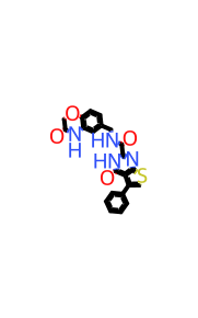 O=C1COc2ccc(CNC(=O)c3nc4scc(-c5ccccc5)c4c(=O)[nH]3)cc2N1